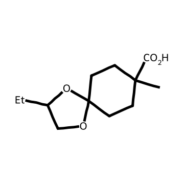 CCC1COC2(CCC(C)(C(=O)O)CC2)O1